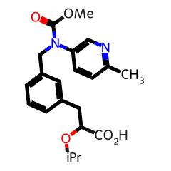 COC(=O)N(Cc1cccc(CC(OC(C)C)C(=O)O)c1)c1ccc(C)nc1